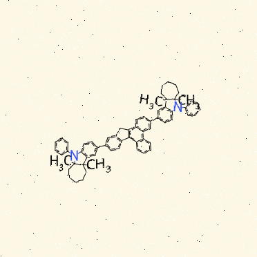 CC12CCCCCC1(C)N(c1ccccc1)c1ccc(-c3ccc4c(c3)Cc3c-4c4ccccc4c4cc(-c5ccc6c(c5)C5(C)CCCCCC5(C)N6c5ccccc5)ccc34)cc12